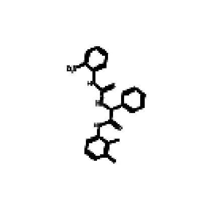 Cc1cccc(NC(=O)C(NC(=S)Nc2ccccc2[N+](=O)[O-])c2ccccc2)c1C